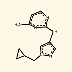 Nc1ccnc(Nc2cnn(CC3CC3)c2)n1